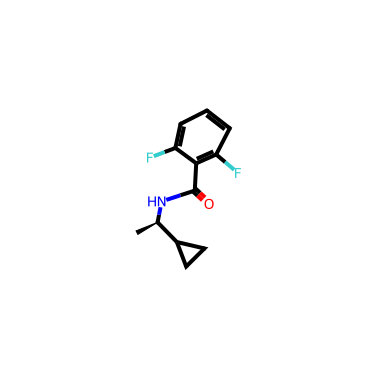 C[C@@H](NC(=O)c1c(F)cccc1F)C1CC1